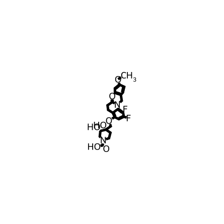 COc1ccc(CN2C(=O)CCc3c(OCC4(O)CCN(C(=O)O)CC4O)cc(F)c(F)c32)cc1